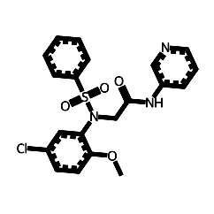 COc1ccc(Cl)cc1N(CC(=O)Nc1cccnc1)S(=O)(=O)c1ccccc1